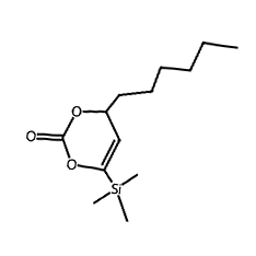 CCCCCCC1C=C([Si](C)(C)C)OC(=O)O1